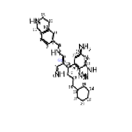 N=C/C(=C\NCc1ccc2c(c1)CCNC2)C(CCCC1CCCCC1)c1cc(N)nc2[nH]nnc12